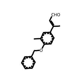 CC(=CC=O)c1ccc(OCc2ccccc2)c(C)c1